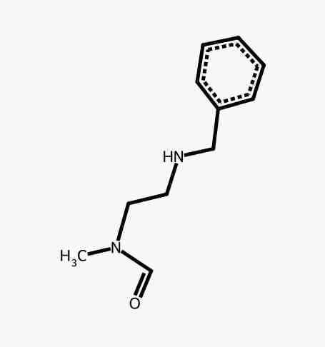 CN(C=O)CCNCc1ccccc1